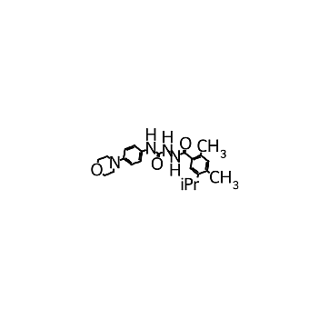 Cc1cc(C)c(C(C)C)cc1C(=O)NNC(=O)Nc1ccc(N2CCOCC2)cc1